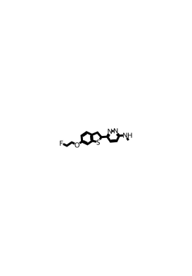 CNc1ccc(C2Cc3ccc(OCCF)cc3S2)nn1